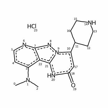 CN(C)c1ccnc2nn3c(C4CCNCC4)cc(=O)[nH]c3c12.Cl